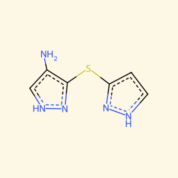 Nc1c[nH]nc1Sc1cc[nH]n1